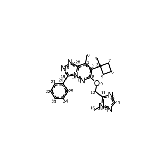 Cc1c(C2(C)CCC2)c(OCc2ncnn2C)nn2c(-c3ccccc3)nnc12